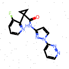 O=C(Nc1ccn(-c2cccnn2)n1)C1(c2ncccc2F)CC1